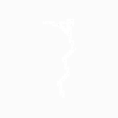 CCCCCC1=CC1C